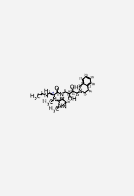 C=CN/C=C(/C(=O)NC[C@H](O)[C@@H](O)CN1CCc2ccccc2C1)N(C)C1CC=NN1C